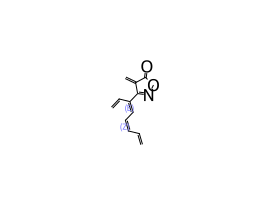 C=C/C=C\C=C(/C=C)C1=NOC(=O)C1=C